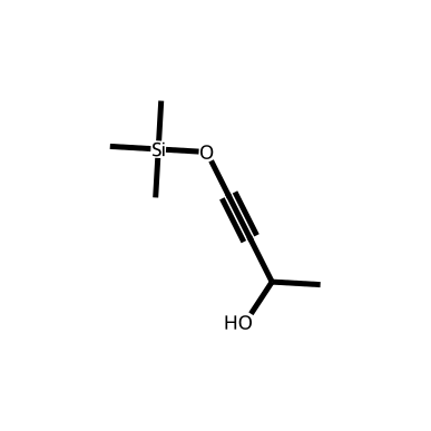 CC(O)C#CO[Si](C)(C)C